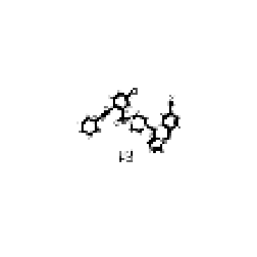 Cl.Cl.N#Cc1ccc(Cn2cncc2CN2CCN(C(=O)c3cc(Cl)ccc3C#CC3CCCCC3)CC2)cc1